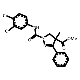 COC(=O)C1(C)CN(C(=O)Nc2ccc(Cl)c(Cl)c2)N=C1c1ccccc1